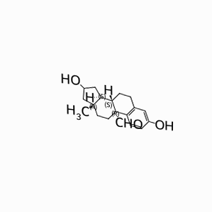 C[C@]12CC[C@]3(C=O)c4ccc(O)cc4CC[C@H]3[C@@H]1CC(O)C2